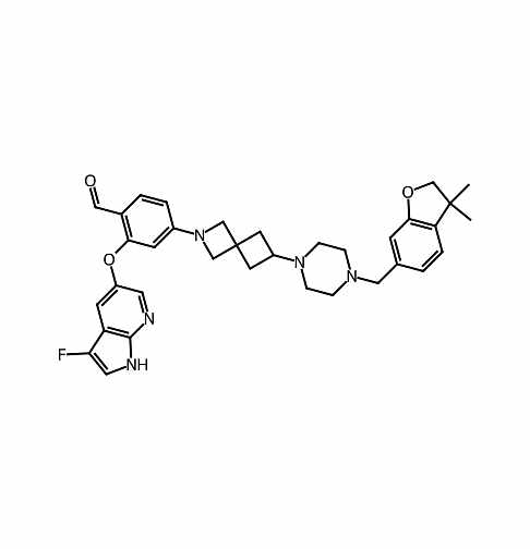 CC1(C)COc2cc(CN3CCN(C4CC5(C4)CN(c4ccc(C=O)c(Oc6cnc7[nH]cc(F)c7c6)c4)C5)CC3)ccc21